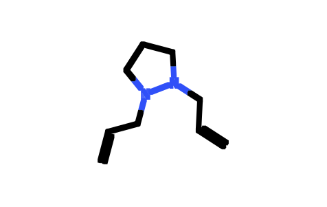 C=CCN1CCCN1CC=C